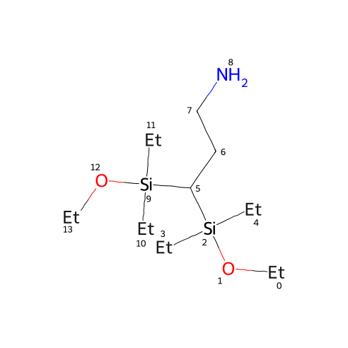 CCO[Si](CC)(CC)C(CCN)[Si](CC)(CC)OCC